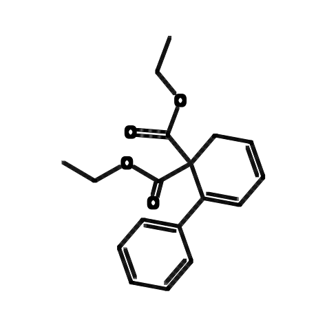 CCOC(=O)C1(C(=O)OCC)CC=CC=C1c1ccccc1